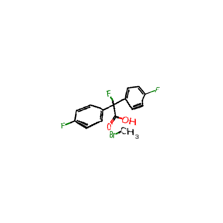 CBr.O=C(O)C(F)(c1ccc(F)cc1)c1ccc(F)cc1